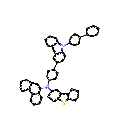 c1ccc(-c2ccc(-n3c4ccccc4c4cc(-c5ccc(N(c6ccc7sc8ccccc8c7c6)c6cc7ccccc7c7ccccc67)cc5)ccc43)cc2)cc1